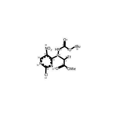 CCC(C(=O)OC)N(NC(=O)OC(C)(C)C)c1nc(Cl)ncc1[N+](=O)[O-]